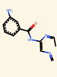 C=N/C=C(\N=C/C)NC(=O)c1cccc(N)c1